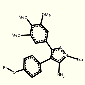 CCOc1ccc(-c2c(-c3cc(OC)c(OC)c(OC)c3)nn(C(C)(C)C)c2N)cc1